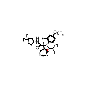 C[C@](C(=O)N[C@H]1CCC(F)(F)C1)(c1cncnc1)N(C(=O)[C@H](F)Cl)c1ccc(OC(F)(F)F)cc1F